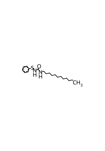 CCCCCCCCCCCCNC(=O)NSc1ccccc1